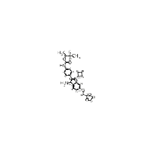 CC(OC(=O)Nc1ccc(-c2c(N)c3ccc(OCC4OCCO4)cc3n2C2CCC2)cc1)C(C)(F)F